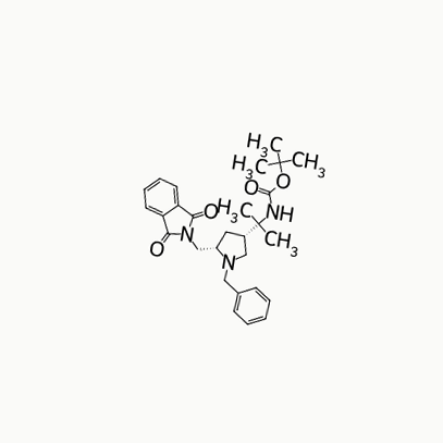 CC(C)(C)OC(=O)NC(C)(C)[C@H]1C[C@@H](CN2C(=O)c3ccccc3C2=O)N(Cc2ccccc2)C1